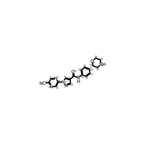 N#Cc1cnc(-n2cc(C(=O)Nc3ccc([C@H]4CNCCO4)cc3)cn2)cn1